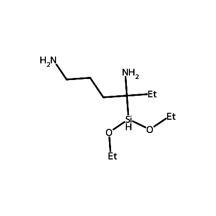 CCO[SiH](OCC)C(N)(CC)CCCN